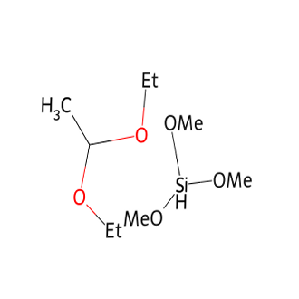 CCOC(C)OCC.CO[SiH](OC)OC